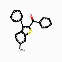 COc1ccc2c(-c3ccccc3)c(C(=O)c3ccccc3)sc2c1